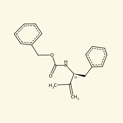 C=C(C)[C@H](Cc1ccccc1)NC(=O)OCc1ccccc1